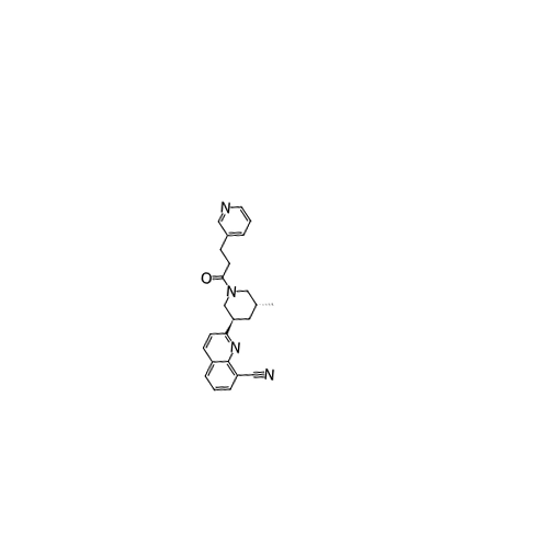 C[C@@H]1C[C@@H](c2ccc3cccc(C#N)c3n2)CN(C(=O)CCc2cccnc2)C1